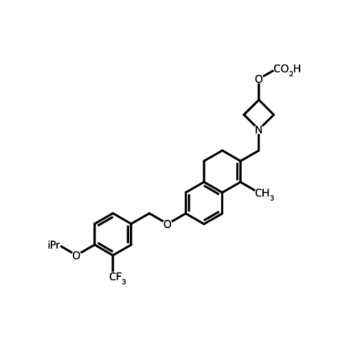 CC1=C(CN2CC(OC(=O)O)C2)CCc2cc(OCc3ccc(OC(C)C)c(C(F)(F)F)c3)ccc21